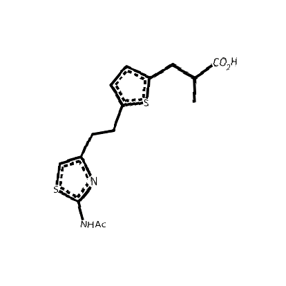 CC(=O)Nc1nc(CCc2ccc(CC(C)C(=O)O)s2)cs1